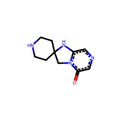 O=c1cncc2n1CC1(CCNCC1)N2